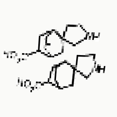 O=C(O)C1CC2CCC1CC21CCNC1.O=C(O)C1CC2CCC1CC21CCNC1